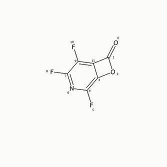 O=C1Oc2c(F)nc(F)c(F)c21